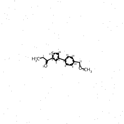 CCC(=O)c1cc(-c2ccc(COC)cc2)cs1